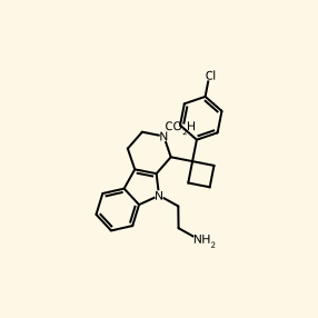 NCCn1c2c(c3ccccc31)CCN(C(=O)O)C2C1(c2ccc(Cl)cc2)CCC1